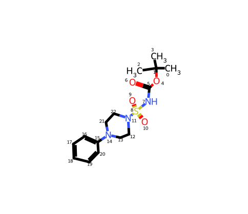 CC(C)(C)OC(=O)NS(=O)(=O)N1CCN(c2ccccc2)CC1